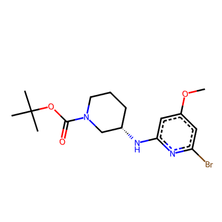 COc1cc(Br)nc(N[C@H]2CCCN(C(=O)OC(C)(C)C)C2)c1